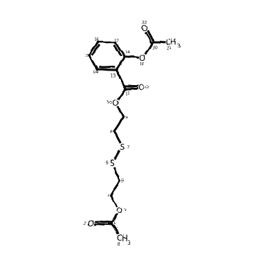 CC(=O)OCCSSCCOC(=O)c1ccccc1OC(C)=O